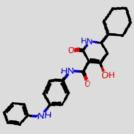 O=C(Nc1ccc(Nc2ccccc2)cc1)C1=C(O)CC(C2CCCCC2)NC1=O